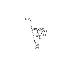 CCCCCCCCCCCCCCCCCC(=O)O.O=C(O)C=CC(=O)O.OCC(O)CO